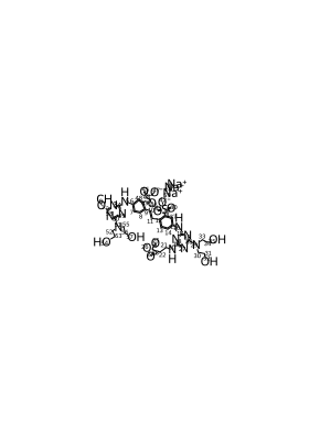 COc1nc(Nc2ccc(C=Cc3ccc(Nc4nc(NCCS(=O)(=O)[O-])nc(N(CCO)CCO)n4)cc3S(=O)(=O)[O-])c(S(=O)(=O)[O-])c2)nc(N(CCO)CCO)n1.[Na+].[Na+].[Na+]